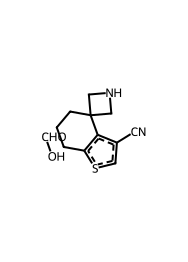 N#Cc1csc2c1C1(CCC2)CNC1.O=CO